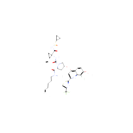 C=CCCCCN(C)C(=O)[C@@H]1C[C@H](Oc2cc(-c3nc(C(F)(F)F)cs3)nc3c(Cl)c(OC)ccc23)CN1C(=O)N[C@]1(C(=O)NS(=O)(=O)C2CC2)C[C@H]1C=C